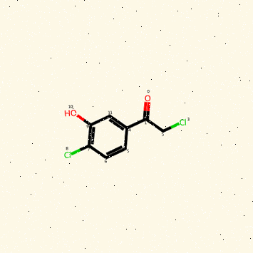 O=C(CCl)c1ccc(Cl)c(O)c1